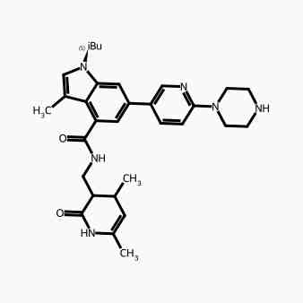 CC[C@H](C)n1cc(C)c2c(C(=O)NCC3C(=O)NC(C)=CC3C)cc(-c3ccc(N4CCNCC4)nc3)cc21